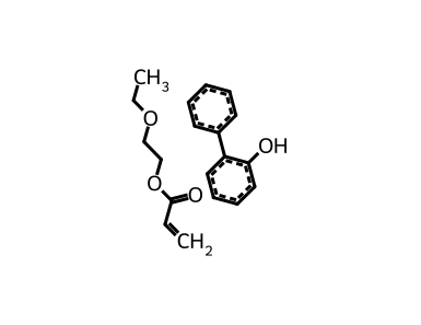 C=CC(=O)OCCOCC.Oc1ccccc1-c1ccccc1